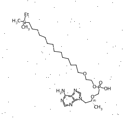 CC[Si](C)(C)CCCCCCCCCCCCCCOCCOP(=O)(O)CO[C@H](C)Cn1cnc2c(N)ncnc21